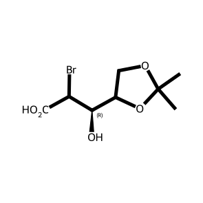 CC1(C)OCC([C@@H](O)C(Br)C(=O)O)O1